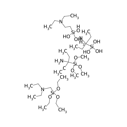 CCC(N)(CC)[Si](O)(O)O.CCC(N)(CC)[Si](OC)(OC)OC.CCN(CC)CC[Si](O)(O)O.CCO[Si](CN(CC)CC)(OCC)OCC